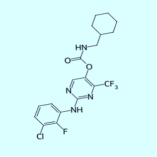 O=C(NCC1CCCCC1)Oc1cnc(Nc2cccc(Cl)c2F)nc1C(F)(F)F